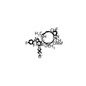 C=C1/C=C\C=C(/C)NCN(c2nc(N3CC4(C3)C[S+]([O-])C4)nc3c2cnn3-c2ccc(F)cc2F)C(CC)C(=O)N(C)CC(OC)Cn2c(C)nc3cc(F)cc1c32